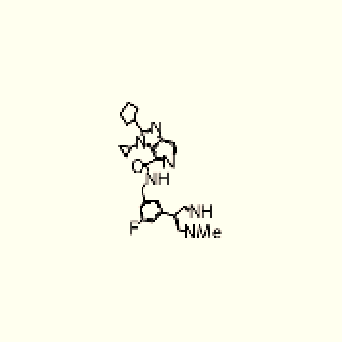 CN/C=C(\C=N)c1cc(F)cc(CNC(=O)c2nccc3nc(C4CCCC4)n(C4CC4)c23)c1